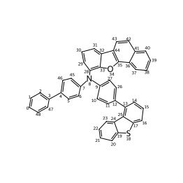 c1ccc(-c2ccc(N(c3ccc(-c4cccc5sc6ccccc6c45)cc3)c3cccc4c3oc3c5ccccc5ccc43)cc2)cc1